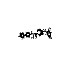 O=C(NCC(=O)N1CCC(Oc2ccccc2Br)CC1)c1ccc(-c2ccccc2)cc1